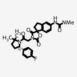 CNC(=O)Nc1ccc2c(c1)CCC21OC(=O)N(CC(=O)N2[C@H](c3ccc(F)cc3)CCC2(C)C)C1=O